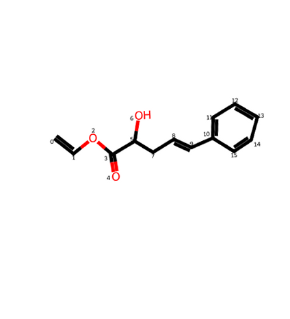 C=COC(=O)C(O)C/C=C/c1ccccc1